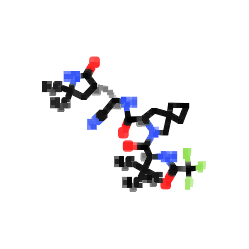 CC1(C)C[C@@H](C[C@@H](C#N)NC(=O)[C@H]2CC3(CCC3)CN2C(=O)[C@@H](NC(=O)C(F)(F)F)C(C)(C)C)C(=O)N1